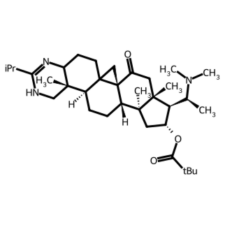 CC(C)C1=NC2CCC34C[C@]35C(=O)C[C@]3(C)[C@@H]([C@H](C)N(C)C)[C@H](OC(=O)C(C)(C)C)C[C@@]3(C)[C@@H]5CC[C@H]4[C@]2(C)CN1